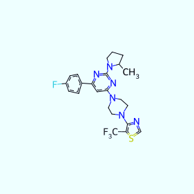 CC1CCCN1c1nc(-c2ccc(F)cc2)cc(N2CCN(c3ncsc3C(F)(F)F)CC2)n1